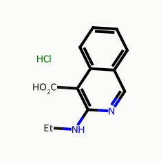 CCNc1ncc2ccccc2c1C(=O)O.Cl